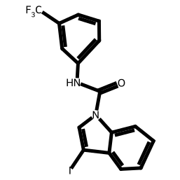 O=C(Nc1cccc(C(F)(F)F)c1)n1cc(I)c2ccccc21